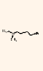 CCC(C)CCCCN(C)C